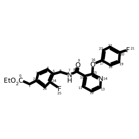 CCOC(=O)Cc1ccc(CNC(=O)c2cccnc2Oc2ccc(F)cc2)c(F)c1